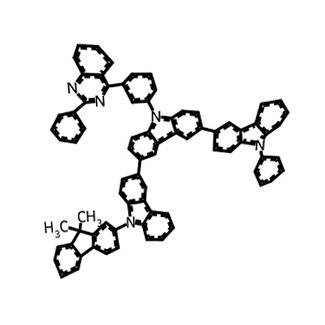 CC1(C)c2ccccc2-c2ccc(-n3c4ccccc4c4cc(-c5ccc6c(c5)c5cc(-c7ccc8c(c7)c7ccccc7n8-c7ccccc7)ccc5n6-c5cccc(-c6nc(-c7ccccc7)nc7ccccc67)c5)ccc43)cc21